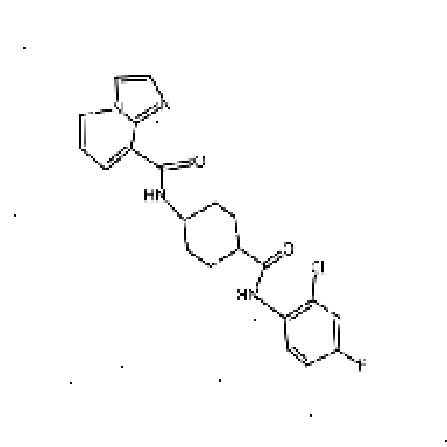 O=C(NC1CCC(C(=O)Nc2ccc(F)cc2Cl)CC1)c1cccn2ccnc12